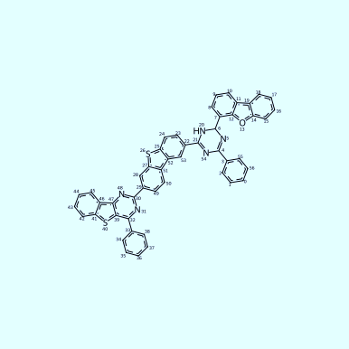 c1ccc(C2=NC(c3cccc4c3oc3ccccc34)NC(c3ccc4sc5cc(-c6nc(-c7ccccc7)c7sc8ccccc8c7n6)ccc5c4c3)=N2)cc1